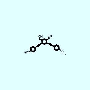 CCCc1ccc(C#Cc2cc(C#Cc3ccc(OC(F)(F)F)cc3)c(CC#N)cc2CC#N)cc1